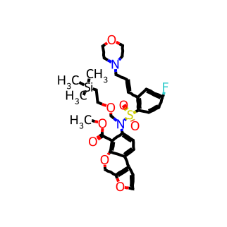 COC(=O)c1c(N(COCC[Si](C)(C)C)S(=O)(=O)c2ccc(F)cc2C=CCN2CCOCC2)ccc2c1OCc1occc1-2